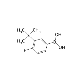 C[Si](C)(C)c1cc(B(O)O)ccc1F